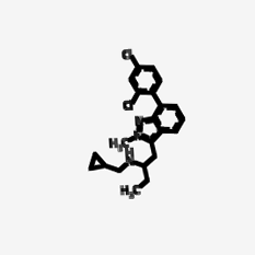 CCC(Cc1c2cccc(-c3ccc(Cl)cc3Cl)c2nn1C)NCC1CC1